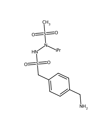 CC(C)N(NS(=O)(=O)Cc1ccc(CN)cc1)S(C)(=O)=O